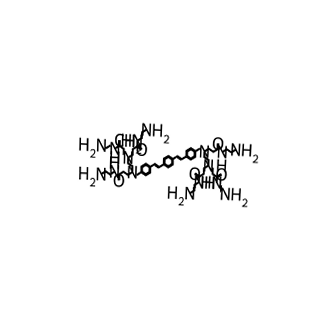 C=C(CCN(CCC(=O)NCCN)CCN(CCC(=O)NCCN)Cc1ccc(/C=C/c2ccc(/C=C/c3ccc(CN(CCC(=O)NCCN)CCN(CCC(=O)NCCN)CCC(=O)NCCN)cc3)cc2)cc1)NCCN